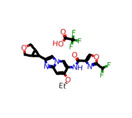 CCOc1cc2nc(C3C4COCC43)cn2cc1NC(=O)c1coc(C(F)F)n1.O=C(O)C(F)(F)F